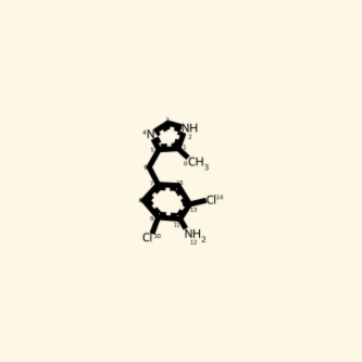 Cc1[nH]cnc1Cc1cc(Cl)c(N)c(Cl)c1